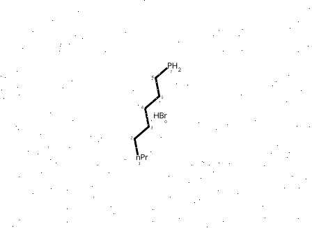 Br.CCCCCCCCP